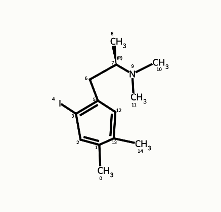 Cc1cc(I)c(C[C@@H](C)N(C)C)cc1C